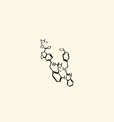 COC(=O)C1COc2cc(NCc3cccc(-n4c(SCc5ccc(Cl)cc5)nc5ccccc54)c3C)ccc21